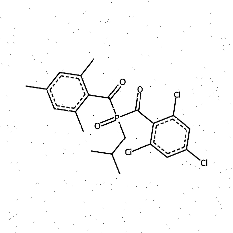 Cc1cc(C)c(C(=O)P(=O)(CC(C)C)C(=O)c2c(Cl)cc(Cl)cc2Cl)c(C)c1